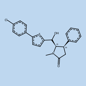 CN1C(=O)C[C@H](c2ccccc2)[C@@H]1C(O)c1ccc(-c2ccc(Cl)cc2)s1